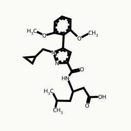 COc1cccc(OC)c1-c1cc(C(=O)NC(CC(=O)O)CC(C)C)nn1CC1CC1